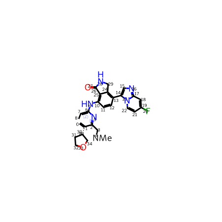 C=C(/C(CNC)=N\C(=C/C)Nc1ccc(-c2cnc3cc(F)ccn23)c2c1C(=O)NC2)[C@H]1CCOC1